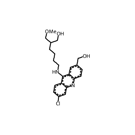 COCC(CO)CCCCNc1c2ccc(Cl)cc2nc2ccc(CO)cc12